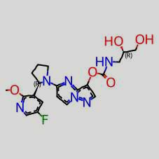 COc1ncc(F)cc1[C@H]1CCCN1c1ccn2ncc(OC(=O)NC[C@@H](O)CO)c2n1